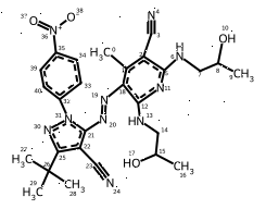 Cc1c(C#N)c(NCC(C)O)nc(NCC(C)O)c1N=Nc1c(C#N)c(C(C)(C)C)nn1-c1ccc([N+](=O)[O-])cc1